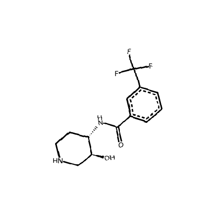 O=C(N[C@H]1CCNC[C@@H]1O)c1cccc(C(F)(F)F)c1